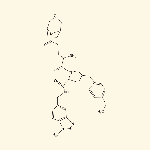 COc1ccc(CC2CC(C(=O)NCc3ccc4c(c3)nnn4C)N(C(=O)C(N)CCC(=O)N3C4CCC3CNC4)C2)cc1